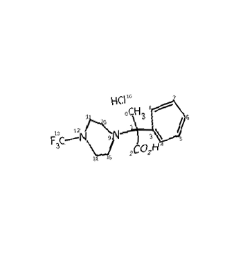 CC(C(=O)O)(c1ccccc1)N1CCN(C(F)(F)F)CC1.Cl